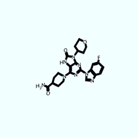 NC(=O)C1CCN(c2nc(-n3cnc4ccc(F)cc43)nc3c2[nH]c(=O)n3C2CCOCC2)CC1